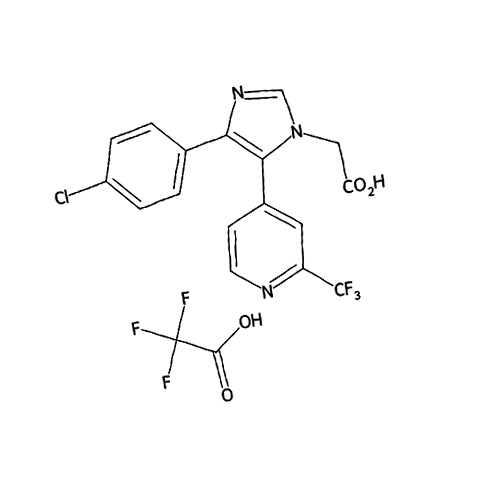 O=C(O)C(F)(F)F.O=C(O)Cn1cnc(-c2ccc(Cl)cc2)c1-c1ccnc(C(F)(F)F)c1